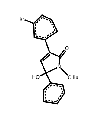 CC(C)CON1C(=O)C(c2cccc(Br)c2)=CC1(O)c1ccccc1